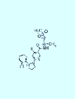 C[C@H](/C=C/S(C)(=O)=O)NC(=O)c1cnc(N2CCC[C@H]2c2ccccc2Cl)cc1F